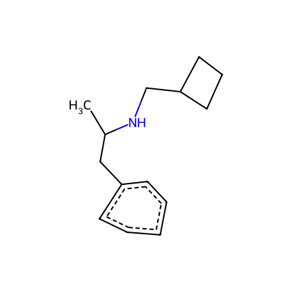 CC(Cc1ccccc1)NCC1CCC1